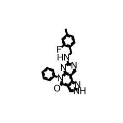 Cc1ccc(CNc2ncc3c4n[nH]cc4c(=O)n(-c4ccccc4)c3n2)c(F)c1